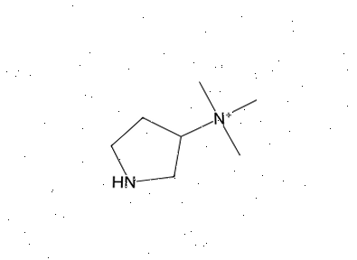 C[N+](C)(C)C1CCNC1